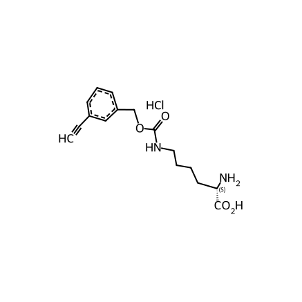 C#Cc1cccc(COC(=O)NCCCC[C@H](N)C(=O)O)c1.Cl